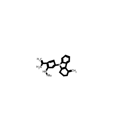 C=C(N)c1ccc(-n2c3c(c4ccccc42)C(=C)CCC3)cc1NCCCC